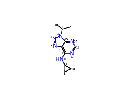 CC(C)n1nnc2c(NC3CC3)ncnc21